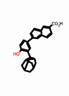 O=C(O)c1ccc2cc(-c3ccc(O)c(C4C5CC6CC(C5)CC4C6)c3)ccc2c1